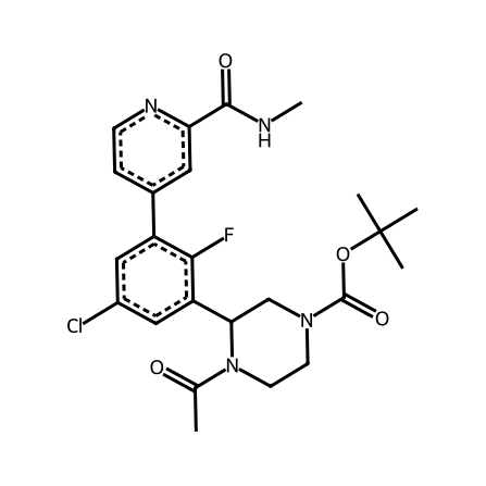 CNC(=O)c1cc(-c2cc(Cl)cc(C3CN(C(=O)OC(C)(C)C)CCN3C(C)=O)c2F)ccn1